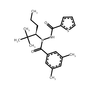 CCC[C@@H](N(NC(=O)c1cccs1)C(=O)c1cc(C)cc(C)c1)C(C)(C)C